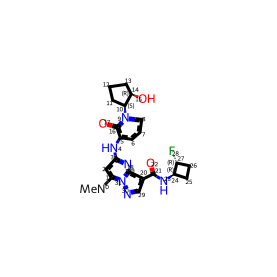 CNc1cc(Nc2cccn([C@H]3CCC[C@H]3O)c2=O)nc2c(C(=O)N[C@@H]3CC[C@H]3F)cnn12